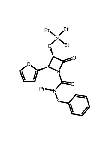 CC[Si](CC)(CC)O[C@H]1C(=O)N(C(=O)N(Sc2ccccc2)C(C)C)[C@H]1c1ccco1